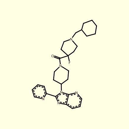 O=C(N1CCC(n2c(-c3ccccn3)nc3cccnc32)CC1)C1(F)CCN(CC2CCCCC2)CC1